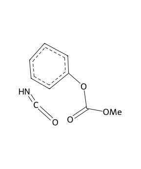 COC(=O)Oc1ccccc1.N=C=O